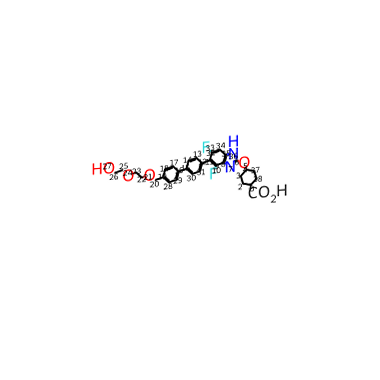 O=C(O)C1CCC(Oc2nc3c(F)c(-c4ccc(-c5ccc(COCCOCCO)cc5)cc4)c(F)cc3[nH]2)CC1